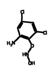 Nc1cc(Cl)cc(Cl)c1ONO